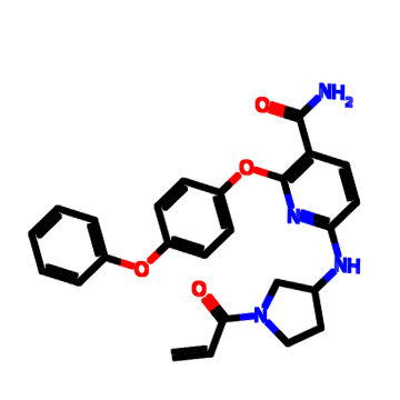 C=CC(=O)N1CCC(Nc2ccc(C(N)=O)c(Oc3ccc(Oc4ccccc4)cc3)n2)C1